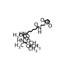 C[C@H](NC(=O)CCCCC(=O)NCCN1C(=O)C=CC1=O)C(=O)N[C@@H](C)C(=O)OC(C)(C)C